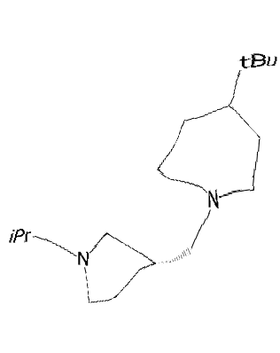 CC(C)N1CC[C@@H](CN2CCC(C(C)(C)C)CC2)C1